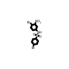 O=[N+]([O-])c1cc(NS(=O)(=O)c2ccc(Br)cc2)ccc1Br